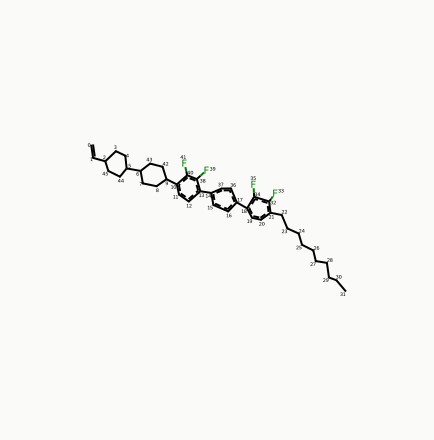 C=CC1CCC(C2CCC(c3ccc(-c4ccc(-c5ccc(CCCCCCCCCC)c(F)c5F)cc4)c(F)c3F)CC2)CC1